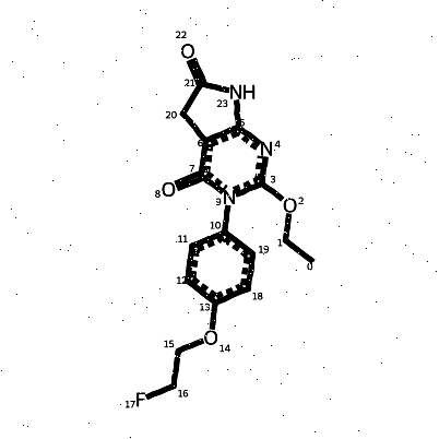 CCOc1nc2c(c(=O)n1-c1ccc(OCCF)cc1)CC(=O)N2